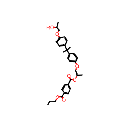 CCCOC(=O)c1ccc(C(=O)OC(C)COc2ccc(C(C)(C)c3ccc(OCC(C)O)cc3)cc2)cc1